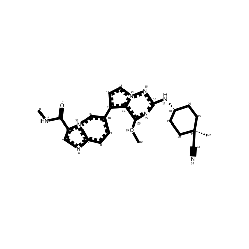 CNC(=O)c1cnc2ccc(-c3ccn4nc(N[C@H]5CC[C@](C)(C#N)CC5)nc(OC)c34)cn12